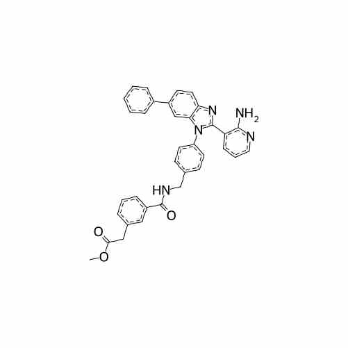 COC(=O)Cc1cccc(C(=O)NCc2ccc(-n3c(-c4cccnc4N)nc4ccc(-c5ccccc5)cc43)cc2)c1